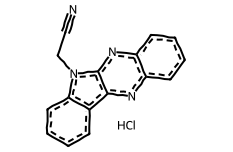 Cl.N#CCn1c2ccccc2c2nc3ccccc3nc21